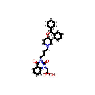 O=C(O)Cn1c(=O)n(CCCCN2CCC(OC(c3ccccc3)c3ccccc3)CC2)c(=O)c2ccccc21